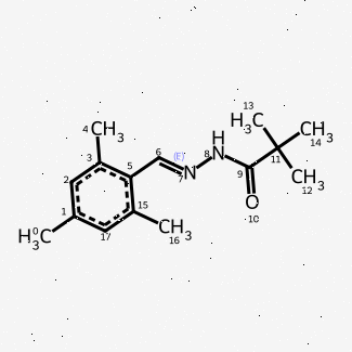 Cc1cc(C)c(/C=N/NC(=O)C(C)(C)C)c(C)c1